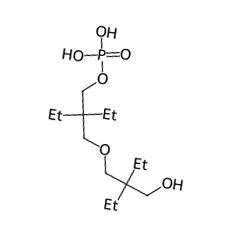 CCC(CC)(CO)COCC(CC)(CC)COP(=O)(O)O